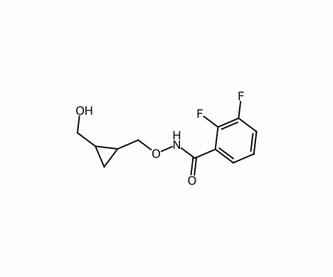 O=C(NOCC1CC1CO)c1cccc(F)c1F